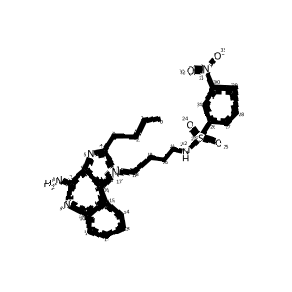 CCCCc1nc2c(N)nc3ccccc3c2n1CCCCNS(=O)(=O)c1cccc([N+](=O)[O-])c1